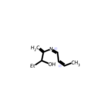 C=C(/N=C\C=C/C)C(O)CC